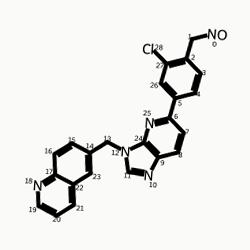 O=NCc1ccc(-c2ccc3ncn(Cc4ccc5ncccc5c4)c3n2)cc1Cl